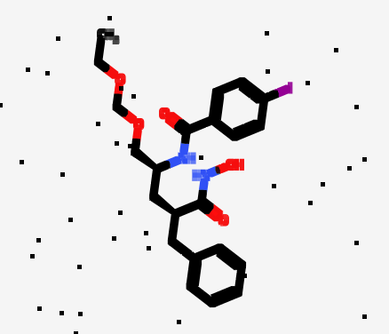 CCOCOC[C@H](C[C@H](Cc1ccccc1)C(=O)NO)NC(=O)c1ccc(I)cc1